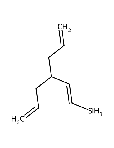 C=CCC(C=C[SiH3])CC=C